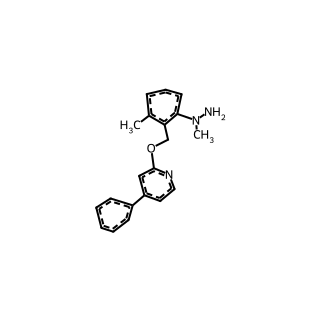 Cc1cccc(N(C)N)c1COc1cc(-c2ccccc2)ccn1